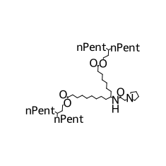 CCCCCC(CCCCC)CCOC(=O)CCCCCCCCC(CCCCCCC(=O)OCCC(CCCCC)CCCCC)NC(=O)CN1CCCC1